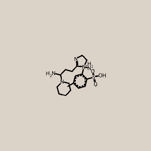 Cc1ccc(S(=O)(=O)O)c([N+]2(N)CCN=C2CCC(N)N2CCCCC2)c1